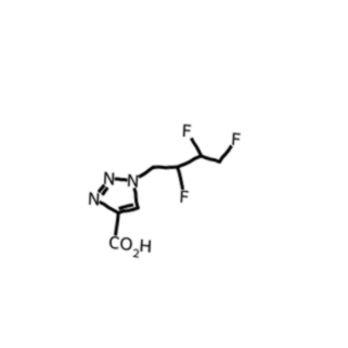 O=C(O)c1cn(CC(F)C(F)CF)nn1